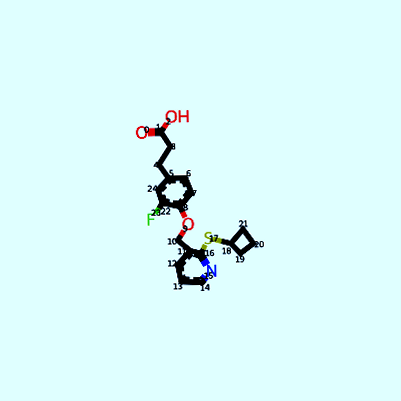 O=C(O)CCc1ccc(OCc2cccnc2SC2CCC2)c(F)c1